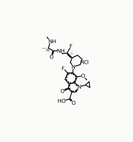 CN[C@@H](C)C(=O)NC/C(F)=C1/CCCN(c2c(F)cc3c(=O)c(C(=O)O)cn(C4CC4)c3c2OC)C1.Cl